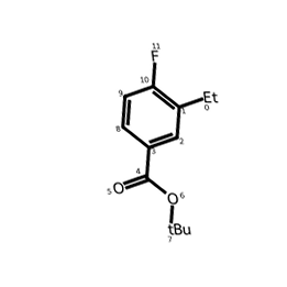 CCc1cc(C(=O)OC(C)(C)C)ccc1F